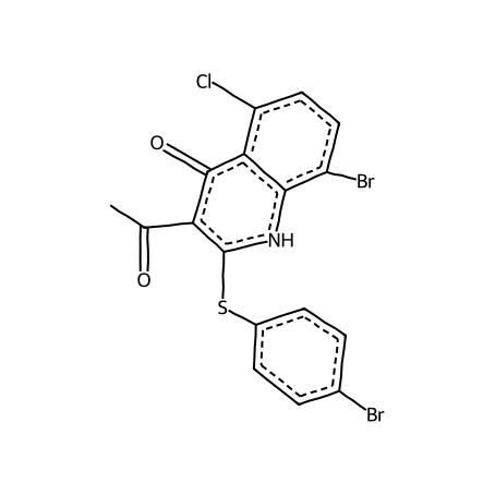 CC(=O)c1c(Sc2ccc(Br)cc2)[nH]c2c(Br)ccc(Cl)c2c1=O